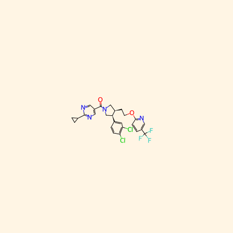 O=C(c1cnc(C2CC2)nc1)N1C[C@@H](CCOc2ccc(C(F)(F)F)cn2)[C@@H](c2ccc(Cl)c(Cl)c2)C1